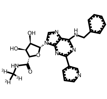 [2H]C([2H])([2H])NC(=O)[C@H]1O[C@@H](n2cnc3c(NCc4ccccc4)nc(-c4cccnc4)nc32)[C@H](O)[C@@H]1O